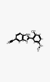 N#Cc1ccc2[nH]c(-c3cc(N=O)ccc3Cl)nc2c1